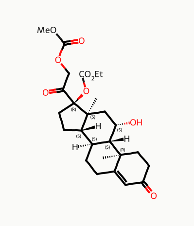 CCOC(=O)O[C@]1(C(=O)COC(=O)OC)CC[C@H]2[C@@H]3CCC4=CC(=O)CC[C@]4(C)[C@H]3[C@@H](O)C[C@@]21C